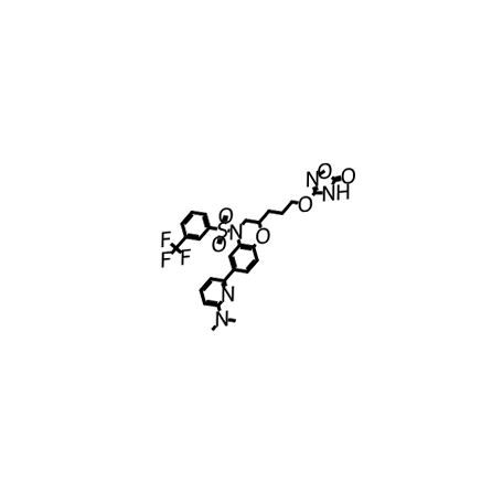 CN(C)c1cccc(-c2ccc3c(c2)N(S(=O)(=O)c2cccc(C(F)(F)F)c2)CC(CCCOc2noc(=O)[nH]2)O3)n1